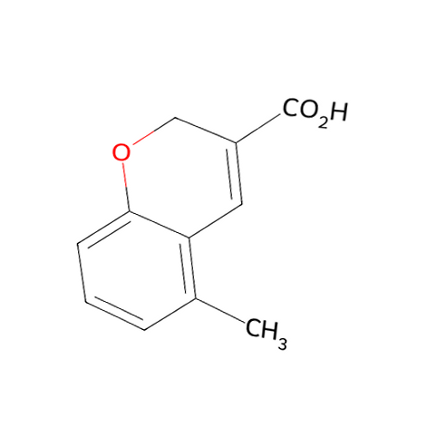 Cc1cccc2c1C=C(C(=O)O)CO2